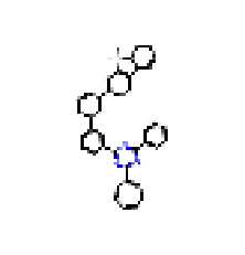 CC1(C)C2=C(CCC(C3C=CCC(c4cccc(-c5nc(C6=CCC=CC=C6)nc(-c6ccccc6)n5)c4)C3)=C2)C2C=CCCC21